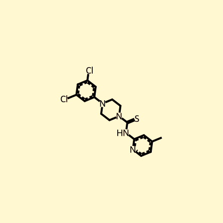 Cc1ccnc(NC(=S)N2CCN(c3cc(Cl)cc(Cl)c3)CC2)c1